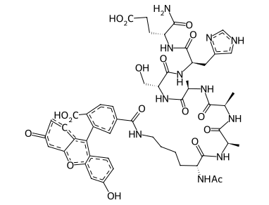 CC(=O)N[C@H](CCCCNC(=O)c1ccc(C(=O)O)c(-c2c3ccc(=O)cc-3oc3cc(O)ccc23)c1)C(=O)N[C@H](C)C(=O)N[C@H](C)C(=O)N[C@H](C)C(=O)N[C@H](CO)C(=O)N[C@H](Cc1c[nH]cn1)C(=O)N[C@H](CCC(=O)O)C(N)=O